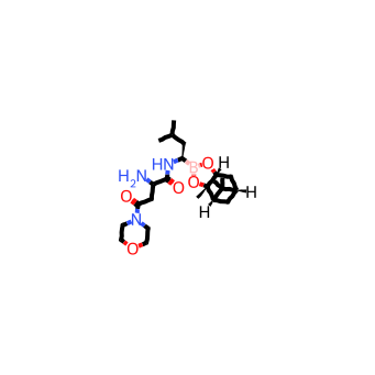 CC(C)C[C@H](NC(=O)C(N)CC(=O)N1CCOCC1)B1O[C@@H]2C[C@@H]3C[C@@H](C3(C)C)[C@]2(C)O1